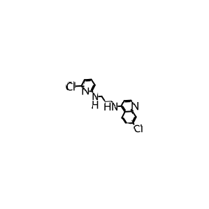 Clc1ccc2c(NCCCNc3cccc(Cl)n3)ccnc2c1